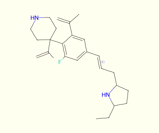 C=C(C)c1cc(/C=C/CC2CCC(CC)N2)cc(F)c1C1(C(=C)C)CCNCC1